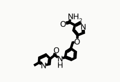 Cc1ccc(C(=O)Nc2cccc(COc3cncc(C(N)=O)c3)c2)cn1